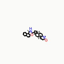 C[C@@H](NC(=O)C1CC[C@H]2[C@@H]3CCC4N(C)C(=O)C=C[C@]4(C)[C@@H]3CC[C@]12C)c1cccc2ccccc12